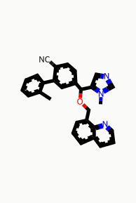 Cc1ccccc1-c1cc(C(OCc2cccc3cccnc23)c2cncn2C)ccc1C#N